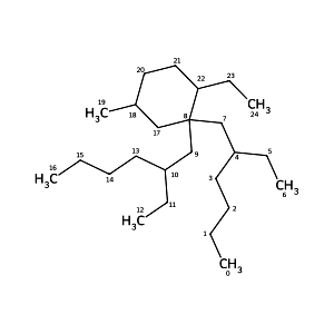 CCCCC(CC)CC1(CC(CC)CCCC)CC(C)CCC1CC